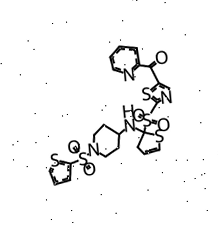 O=C(c1ccccn1)c1cnc(S(=O)(=O)C2(NC3CCN(S(=O)(=O)c4cccs4)CC3)CC=CS2)s1